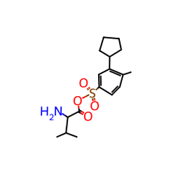 Cc1ccc(S(=O)(=O)OC(=O)C(N)C(C)C)cc1C1CCCC1